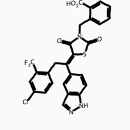 O=C(O)c1ccccc1CN1C(=O)S/C(=C(/Cc2ccc(Cl)cc2C(F)(F)F)c2ccc3[nH]ncc3c2)C1=O